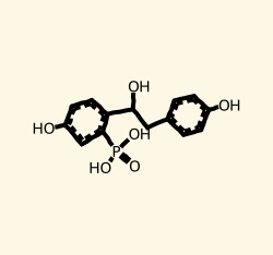 O=P(O)(O)c1cc(O)ccc1C(O)Cc1ccc(O)cc1